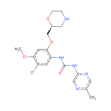 COc1cc(OC[C@@H]2CNCCO2)c(NC(=O)Nc2cnc(C)cn2)cc1Cl